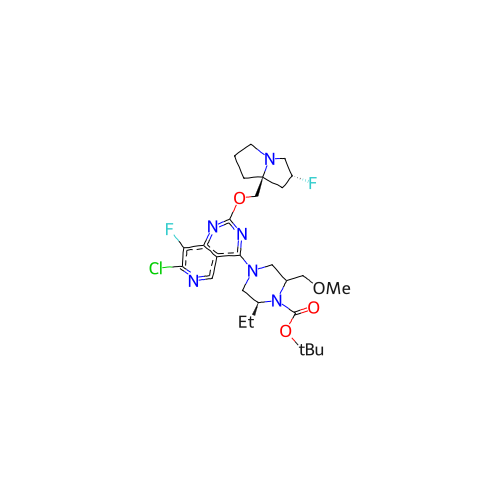 CC[C@H]1CN(c2nc(OC[C@@]34CCCN3C[C@H](F)C4)nc3c(F)c(Cl)ncc23)CC(COC)N1C(=O)OC(C)(C)C